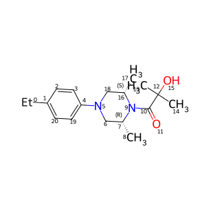 CCc1ccc(N2C[C@@H](C)N(C(=O)C(C)(C)O)[C@@H](C)C2)cc1